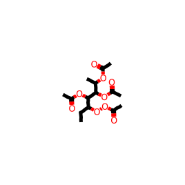 CCC(OOC(C)=O)C(OC(C)=O)C(OC(C)=O)C(C)OC(C)=O